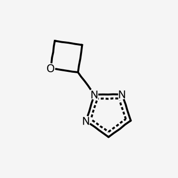 c1cnn(C2CCO2)n1